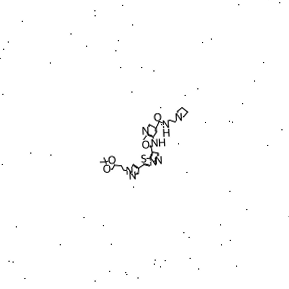 Cc1ncc(C(=O)NCCN2CCCC2)cc1NC(=O)c1cnn2cc(-c3cnn(CCC4COC(C)(C)O4)c3)sc12